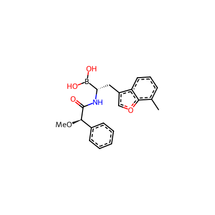 CO[C@@H](C(=O)N[C@@H](Cc1coc2c(C)cccc12)B(O)O)c1ccccc1